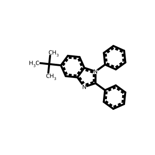 CC(C)(C)c1ccc2c(c1)nc(-c1ccccc1)n2-c1ccccc1